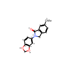 COc1ccc2c(c1)C(=O)N(c1ccc3c(c1)OCO3)C2